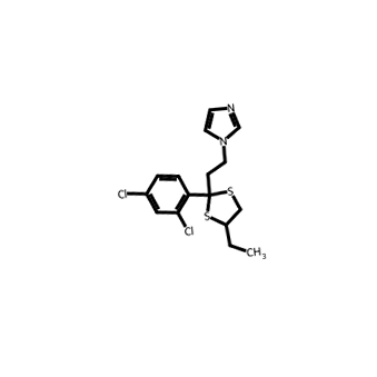 CCC1CSC(CCn2ccnc2)(c2ccc(Cl)cc2Cl)S1